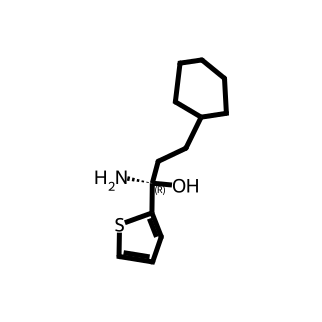 N[C@@](O)(CCC1CCCCC1)c1cccs1